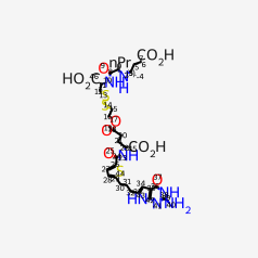 CCCC(N[C@@H](C)CCC(=O)O)C(=O)NC(CSSCCOC(=O)CCC(NC(=O)c1ccc(CCCc2cc3c(=O)[nH]c(N)nc3[nH]2)s1)C(=O)O)C(=O)O